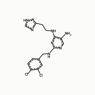 Nc1cnc(NCc2ccc(Cl)c(Cl)c2)nc1NCCc1nc[nH]n1